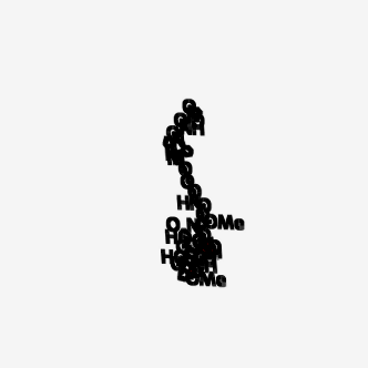 COc1cc(C(C)OC(=O)N2CO[C@@H]3[C@H](C)O[C@@H](O[C@H]4C[C@](O)(C(=O)CO)Cc5c(O)c6c(c(O)c54)C(=O)c4c(OC)cccc4C6=O)C[C@@H]32)c([N+](=O)[O-])cc1OCC(=O)NCCOCCOCCOCCn1nnc2c1-c1ccccc1CN(C(=O)CCNC(=O)CCN1C(=O)C=CC1=O)c1ccccc1-2